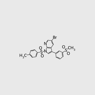 Cc1ccc(S(=O)(=O)n2cc(-c3cccc(S(C)(=O)=O)c3)c3cc(Br)cnc32)cc1